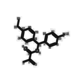 C=C(C)C(=O)OC(c1ccc(F)cc1)c1ccc(CC)cc1